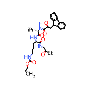 C=CCOC(=O)NCCCCC(NC(=O)[C@@H](NC(=O)C(=O)CC1c2ccccc2-c2ccccc21)C(C)C)C(=O)NCC(=O)CC